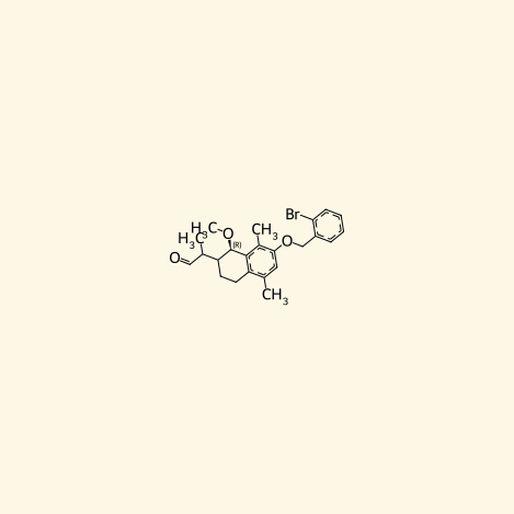 CO[C@H]1c2c(C)c(OCc3ccccc3Br)cc(C)c2CCC1C(C)C=O